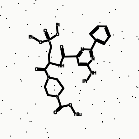 CCCCOC(=O)N1CCN(C(=O)C(CCP(=O)(OCC)OCC)NC(=O)c2cc(NC(C)C)nc(-c3ccccc3)n2)CC1